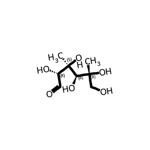 C[C@@](O)([C@@H](O)C=O)[C@H](O)[C@](C)(O)CO